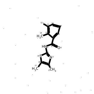 Cc1nc(NC(=O)c2cccc(I)c2C)sc1C